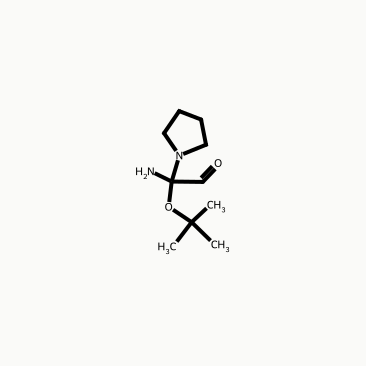 CC(C)(C)OC(N)(C=O)N1CCCC1